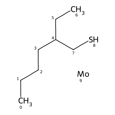 CCCCC(CC)CS.[Mo]